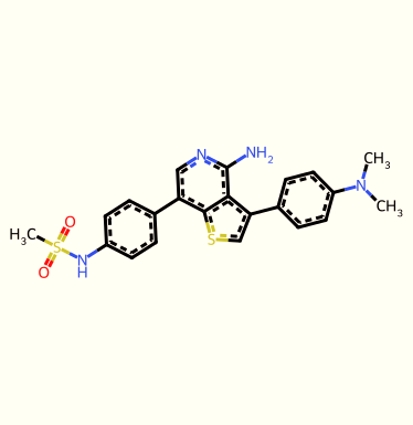 CN(C)c1ccc(-c2csc3c(-c4ccc(NS(C)(=O)=O)cc4)cnc(N)c23)cc1